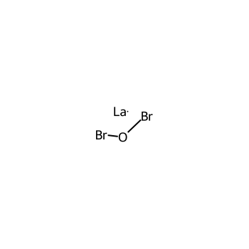 BrOBr.[La]